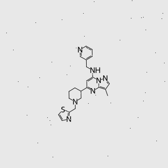 Cc1cnn2c(NCc3cccnc3)cc(C3CCCN(Cc4nccs4)C3)nc12